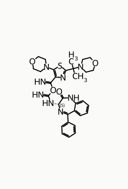 CC(C)(c1nc(C(=N)OC(=N)N[C@H]2N=C(c3ccccc3)c3ccccc3NC2=O)c(N2CCOCC2)s1)N1CCOCC1